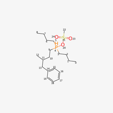 CCCC[PH](CCCC)(CCC(C)Cc1ccccc1)OS(C)(=O)=O